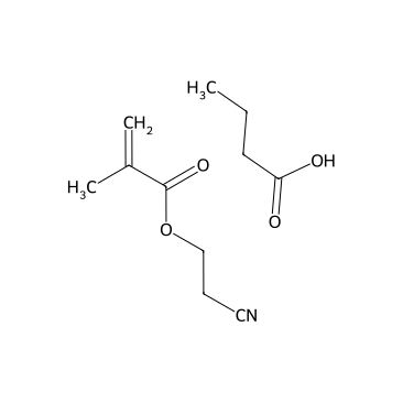 C=C(C)C(=O)OCCC#N.CCCC(=O)O